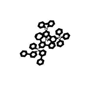 C1#CCC(c2cc(S(c3ccccc3)(c3cccc(-c4ccccc4)c3)c3cccc(-c4ccccc4)c3)cc(-c3ccccc3)c2-n2c3c(c4cc(-n5c6ccccc6c6ccccc65)ccc42)C=C(S(c2ccccc2)(c2ccccc2)c2ccccc2)CC3)=CC=C1